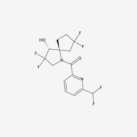 O=C(c1cccc(C(F)F)n1)N1CC(F)(F)[C@H](O)[C@@]12CCC(F)(F)C2